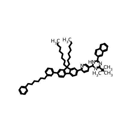 CCCCCCCCC1(CCCCCCCC)c2cc(-c3cccc(CCCCCCc4ccccc4)c3)ccc2-c2ccc(-c3ccc(C4N=C(C(C)(C)C)N=C(c5ccc6ccccc6c5)N4)cn3)cc21